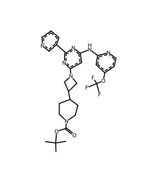 CC(C)(C)OC(=O)N1CCC(C2CN(c3cc(Nc4cc(OC(F)(F)F)ccn4)nc(-c4cccnc4)n3)C2)CC1